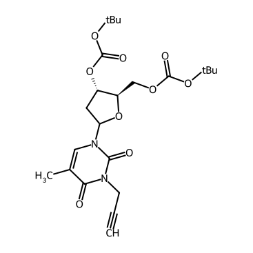 C#CCn1c(=O)c(C)cn(C2C[C@H](OC(=O)OC(C)(C)C)[C@@H](COC(=O)OC(C)(C)C)O2)c1=O